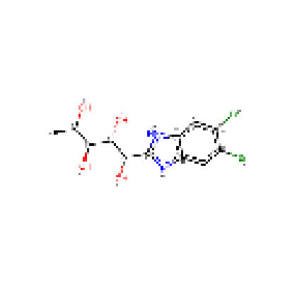 C[C@@H](O)[C@H](O)[C@H](O)[C@@H](O)c1nc2cc(Br)c(Br)cc2[nH]1